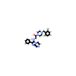 O=C(CNc1c(-c2ccccc2)nc2cnccn12)N1CCN(Cc2c(F)cccc2Cl)CC1